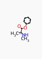 CN[C@@H](C)C(=O)Oc1ccccc1